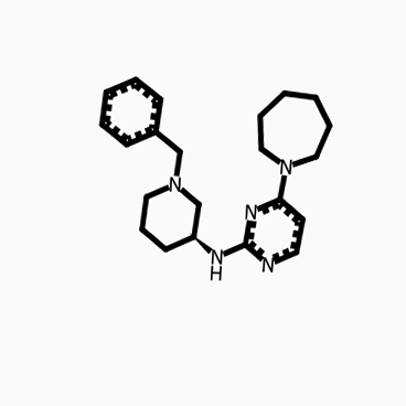 c1ccc(CN2CCC[C@H](Nc3nccc(N4CCCCCC4)n3)C2)cc1